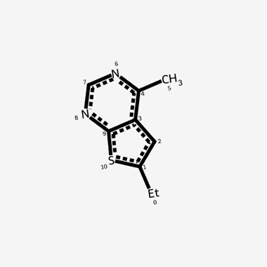 CCc1cc2c(C)ncnc2s1